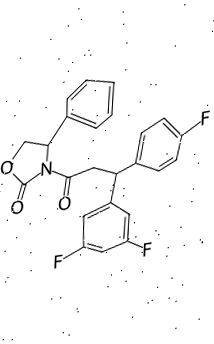 O=C(CC(c1ccc(F)cc1)c1cc(F)cc(F)c1)N1C(=O)OCC1c1ccccc1